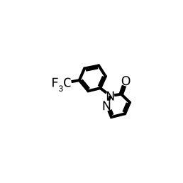 O=c1cccnn1-c1cccc(C(F)(F)F)c1